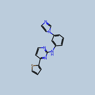 c1cc(Nc2nccc(-c3cccs3)n2)cc(-n2ccnc2)c1